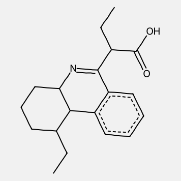 CCC(C(=O)O)C1=NC2CCCC(CC)C2c2ccccc21